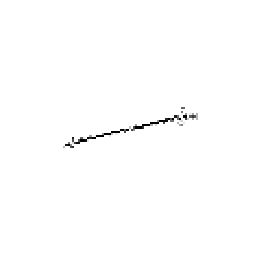 O=C=NCCCCCCCCCCCCCCCCCCCCCCCCCCC(=O)NO